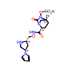 O=C(NOC[C@@H]1C[C@@H](n2cccc2)CN1)[C@@H]1CC[C@@H]2CN1C(=O)N2OS(=O)(=O)O